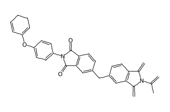 C=C(C)n1c(=C)c2ccc(Cc3ccc4c(c3)C(=O)N(c3ccc(OC5=CCCC=C5)cc3)C4=O)cc2c1=C